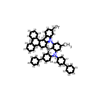 Cc1cc2c3c(c1)-n1c4cc(C(C)C)ccc4c4c5c6ccccc6c6ccccc6c5cc(c41)B3c1cc(-c3ccccc3)ccc1N2c1ccc(-c2ccccc2)cc1